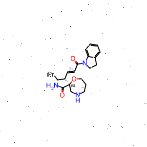 CC(C)CC(/C=C/C(=O)N1CCc2ccccc21)[C@@]1(C(N)=O)CNCCCO1